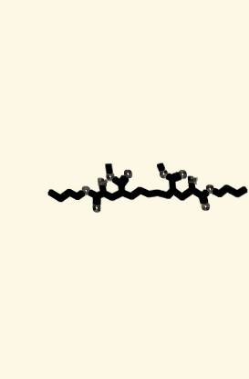 CCCCOC(=O)C(Br)CC(CCCCCC(CC(Br)C(=O)OCCCC)C(=O)OC)C(=O)OC